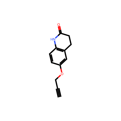 C#CCOc1ccc2c(c1)CCC(=O)N2